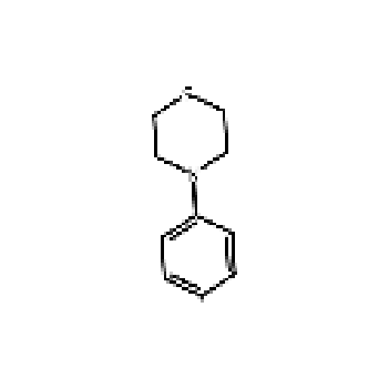 [c]1ccc(N2CCSCC2)cc1